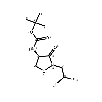 CC(C)(C)OC(=O)N[C@@H]1CON(CC(F)F)C1=O